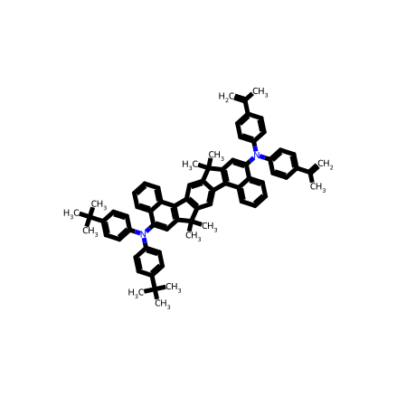 C=C(C)c1ccc(N(c2ccc(C(=C)C)cc2)c2cc3c(c4ccccc24)-c2cc4c(cc2C3(C)C)-c2c(cc(N(c3ccc(C(C)(C)C)cc3)c3ccc(C(C)(C)C)cc3)c3ccccc23)C4(C)C)cc1